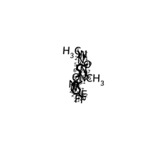 Cc1cn(-c2ccc3c(=O)n(Cc4cnn5c4CC(C(F)(F)F)CC5)c(C)cn3c2=O)cn1